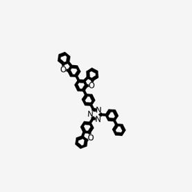 c1ccc(-c2cccc(-c3nc(-c4ccc(-c5ccc(-c6ccc7c(c6)oc6ccccc67)c6c5oc5ccccc56)cc4)nc(-c4ccc5c(c4)oc4ccccc45)n3)c2)cc1